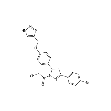 O=C(CCl)N1N=C(c2ccc(Br)cc2)CC1c1ccc(OCc2c[nH]nn2)cc1